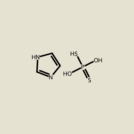 OP(O)(=S)S.c1c[nH]cn1